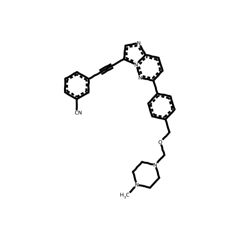 CN1CCN(COCc2ccc(-c3ccc4ncc(C#Cc5cccc(C#N)c5)n4n3)cc2)CC1